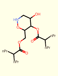 CCCC(CCC)C(=O)OCC1ONCC(O)C1OC(=O)C(CCC)CCC